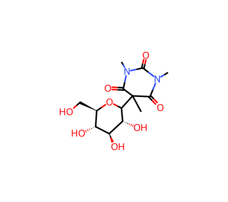 CN1C(=O)N(C)C(=O)C(C)(C2O[C@H](CO)[C@@H](O)[C@H](O)[C@H]2O)C1=O